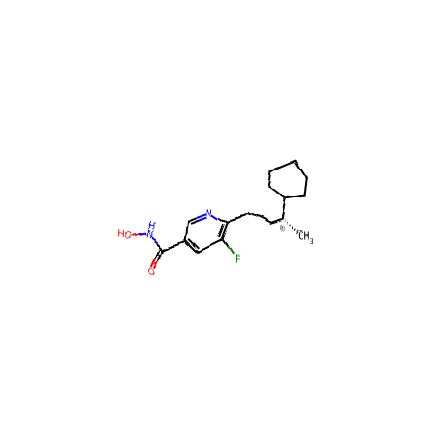 C[C@H](CCc1ncc(C(=O)NO)cc1F)C1CCCCC1